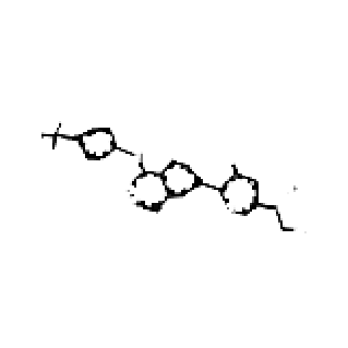 OC[C@@H](O)c1cnc(-c2ccc3c(Nc4ccc(C(F)(F)F)cc4)nncc3c2)c(F)c1